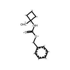 O=CC1(NC(=O)OCc2ccccc2)CCC1